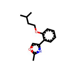 Cc1nc(-c2ccccc2OCCC(C)C)co1